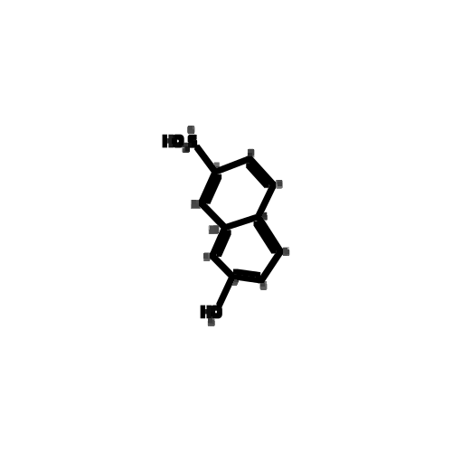 O=S(=O)(O)c1ccc2ccc(O)cc2c1